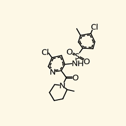 Cc1cc(S(=O)(=O)Nc2cc(Cl)cnc2C(=O)N2CCCCC2C)ccc1Cl